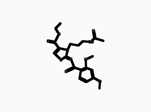 CCOC(=O)c1csc(=NC(=O)c2ccc(OC)cc2OC)n1CCCNC(C)=O